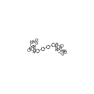 COC(=O)NCC(C)CC(=O)N1C2CCC(C2)C1c1nc2ccc(-c3ccc(-c4ccc(-c5ccc6nc(C7C8CCC(C8)N7C(=O)C(NC(=O)OC)C(C)C)[nH]c6c5)cc4)cc3)cc2[nH]1